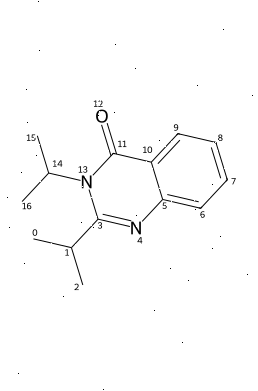 CC(C)c1nc2ccccc2c(=O)n1C(C)C